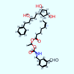 CC(OC(=O)CCC/C=C\C[C@@H]1[C@@H](CC[C@@H](O)CCc2ccccc2)[C@H](O)C[C@@H]1O)OC(=O)NCc1cccc(C=O)c1